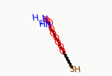 NOCC(=O)NCCOCCOCCOCCOCCOCCOCCCCCCCCCCCS